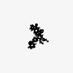 CC[C@H](CNC(=O)c1ccc2c(c1)C(=O)c1ccccc1-2)[C@H](C)CN1CCN(c2nsc3ccccc23)CC1